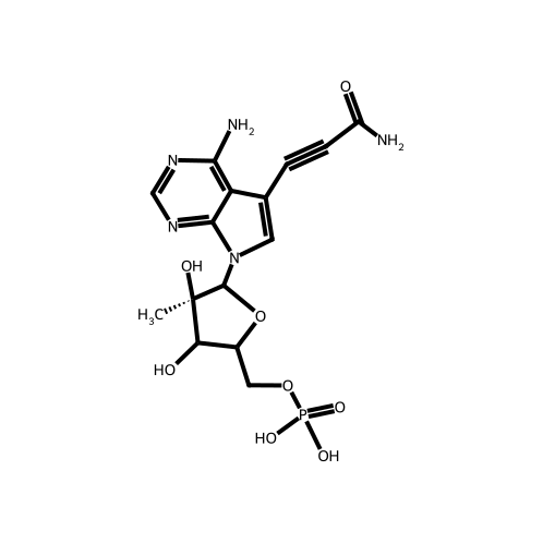 C[C@@]1(O)C(O)C(COP(=O)(O)O)OC1n1cc(C#CC(N)=O)c2c(N)ncnc21